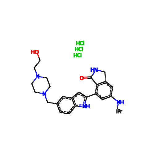 CC(C)Nc1cc2c(c(-c3cc4cc(CN5CCN(CCO)CC5)ccc4[nH]3)c1)C(=O)NC2.Cl.Cl.Cl